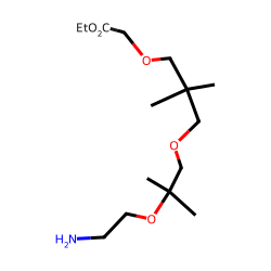 CCOC(=O)COCC(C)(C)COCC(C)(C)OCCN